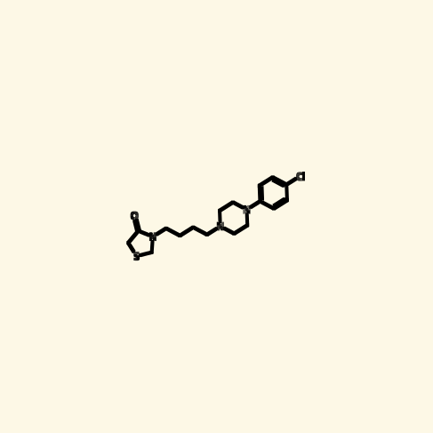 O=C1CSCN1CCCCN1CCN(c2ccc(Cl)cc2)CC1